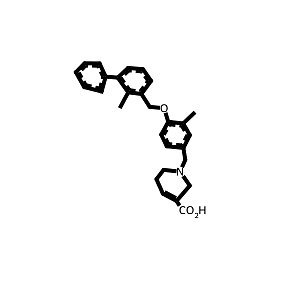 Cc1cc(CN2CCC=C(C(=O)O)C2)ccc1OCc1cccc(-c2ccccc2)c1C